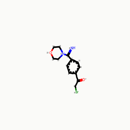 N=C(c1ccc(C(=O)CBr)cc1)N1CCOCC1